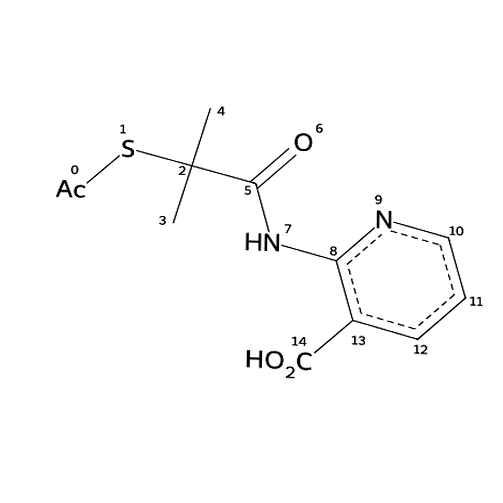 CC(=O)SC(C)(C)C(=O)Nc1ncccc1C(=O)O